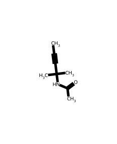 CC#CC(C)(C)NC(C)=O